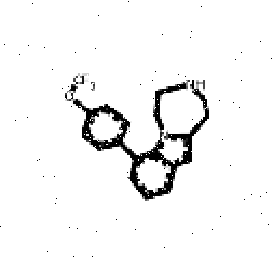 FC(F)(F)Oc1ccc(-c2cccc3cc4n(c23)CCNCC4)cc1